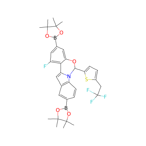 CC1(C)OB(c2cc(F)c3c(c2)OC(c2ccc(CC(F)(F)F)s2)n2c-3cc3cc(B4OC(C)(C)C(C)(C)O4)ccc32)OC1(C)C